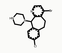 Clc1ccc2c(c1)CCc1c(Br)ccnc1C2N1CCNCC1